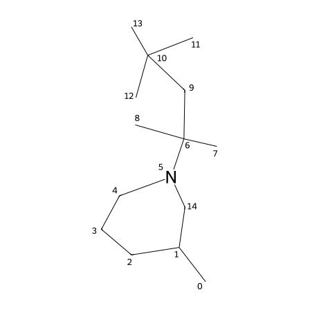 CC1CCCN(C(C)(C)CC(C)(C)C)C1